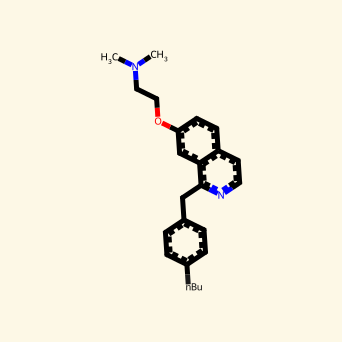 CCCCc1ccc(Cc2nccc3ccc(OCCN(C)C)cc23)cc1